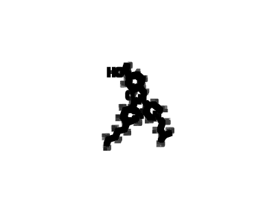 C=C(O)c1ccc(CN(C(=O)c2ccc(CCCCC)cn2)C2CCN(CCC(C)C)CC2)cc1